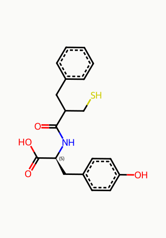 O=C(N[C@@H](Cc1ccc(O)cc1)C(=O)O)C(CS)Cc1ccccc1